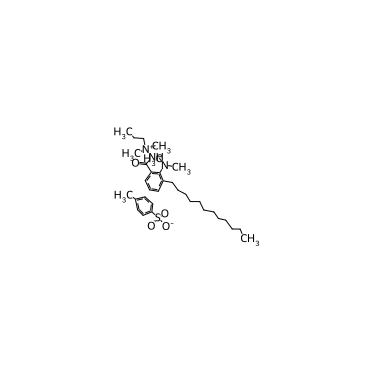 CCCCCCCCCCCCc1cccc(C(=O)N[N+](C)(C)CCC)c1N(C)C.Cc1ccc(S(=O)(=O)[O-])cc1